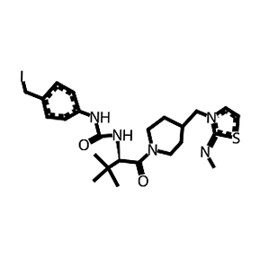 C/N=c1\sccn1CC1CCN(C(=O)[C@H](NC(=O)Nc2ccc(CI)cc2)C(C)(C)C)CC1